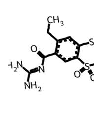 CCc1cc2c(cc1C(=O)N=C(N)N)S(=O)(=O)CCS2